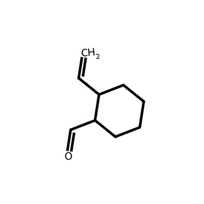 C=CC1CCCCC1C=O